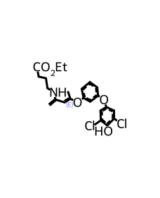 C=C(/C=C(\C)Oc1cccc(Oc2cc(Cl)c(O)c(Cl)c2)c1)NCCCC(=O)OCC